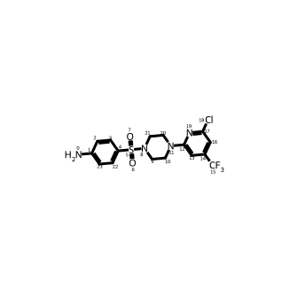 Nc1ccc(S(=O)(=O)N2CCN(c3cc(C(F)(F)F)cc(Cl)n3)CC2)cc1